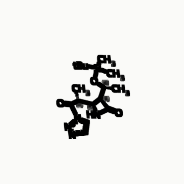 C[C@@H](O[Si](C)(C)C(C)(C)C)[C@H]1C(=O)N[C@H]1[C@@H](C)C(=O)n1ccnn1